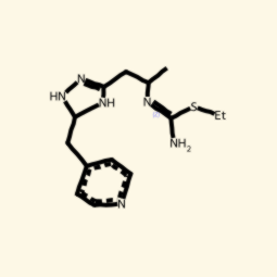 CCS/C(N)=N\C(C)CC1=NNC(Cc2ccncc2)N1